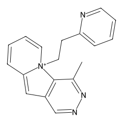 Cc1nncc2c1[N+]1(CCc3ccccn3)C=CC=CC1=C2